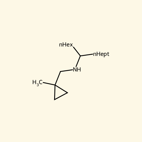 CCCCCCCC(CCCCCC)NCC1(C)CC1